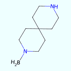 BN1CCC2(CCNCC2)CC1